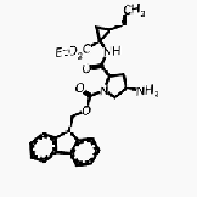 C=CC1CC1(NC(=O)C1CC(N)CN1C(=O)OCC1c2ccccc2-c2ccccc21)C(=O)OCC